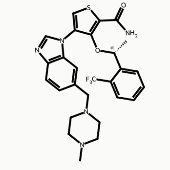 C[C@@H](Oc1c(-n2cnc3ccc(CN4CCN(C)CC4)cc32)csc1C(N)=O)c1ccccc1C(F)(F)F